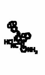 Cl.N#Cc1c(N2CCCC(N)C2)n(Cc2ccccc2)c2c(=O)n(Cc3ccc4c(c3)OCCO4)cnc12